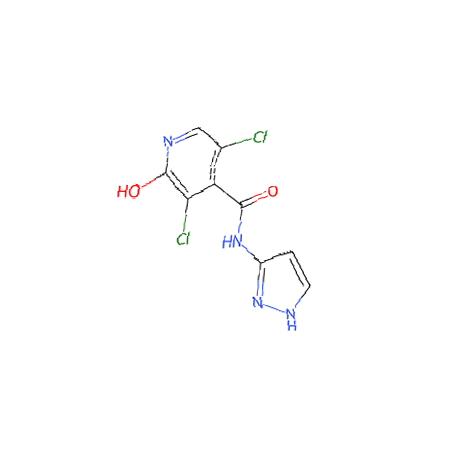 O=C(Nc1cc[nH]n1)c1c(Cl)cnc(O)c1Cl